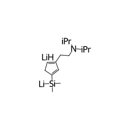 [LiH].[Li][Si](C)(C)C1=CC(CCN(C(C)C)C(C)C)=CC1